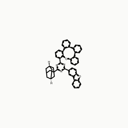 c1ccc2c(c1)oc1ccc(-c3nc(-c4cccc5c4oc4ccccc4c4ccccc4c4ccccc54)nc(C45CC6C[C@H](C4)C[C@H](C6)C5)n3)cc12